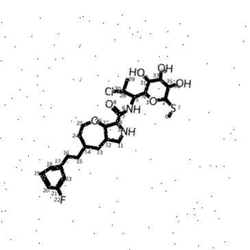 CSC1OC(C(NC(=O)C2NCC3CC(CCc4cccc(F)c4)CCOC32)C(C)Cl)C(O)C(O)C1O